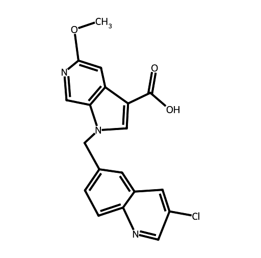 COc1cc2c(C(=O)O)cn(Cc3ccc4ncc(Cl)cc4c3)c2cn1